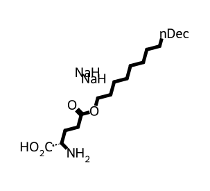 CCCCCCCCCCCCCCCCCCOC(=O)CC[C@H](N)C(=O)O.[NaH].[NaH]